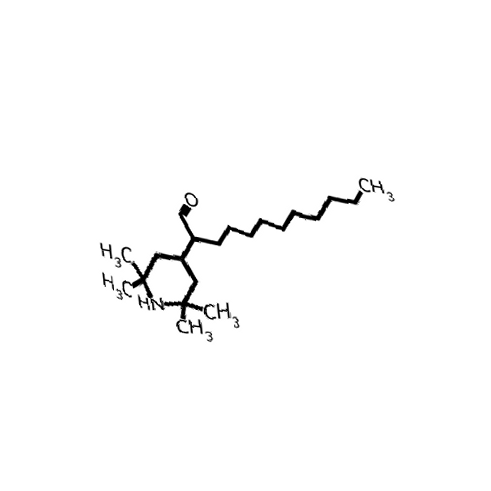 CCCCCCCCCCC(C=O)C1CC(C)(C)NC(C)(C)C1